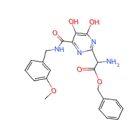 COc1cccc(CNC(=O)c2nc(C(N)C(=O)OCc3ccccc3)nc(O)c2O)c1